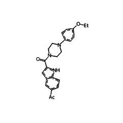 CCOc1ccc(N2CCN(C(=O)c3cc4cc(C(C)=O)ccc4[nH]3)CC2)cc1